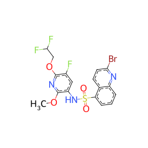 COc1nc(OCC(F)F)c(F)cc1NS(=O)(=O)c1cccc2nc(Br)ccc12